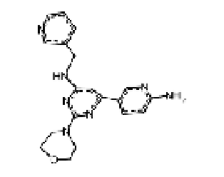 Nc1ccc(-c2cc(NCc3cccnc3)nc(N3CCOCC3)n2)cn1